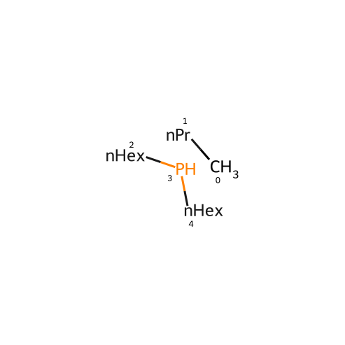 CCCC.CCCCCCPCCCCCC